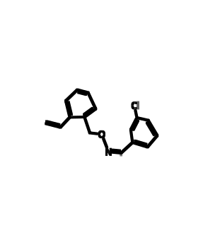 C=Cc1ccccc1CO/N=[C]\c1cccc(Cl)c1